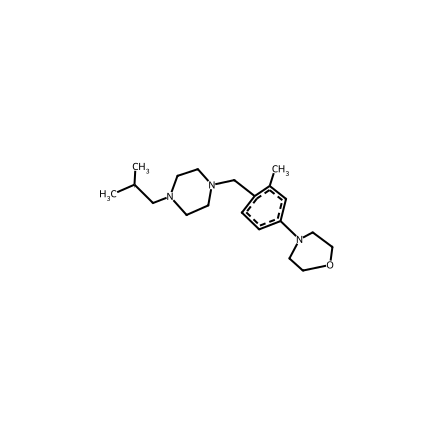 C[C](C)CN1CCN(Cc2ccc(N3CCOCC3)cc2C)CC1